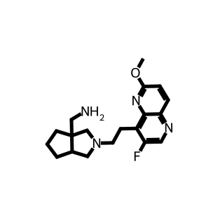 COc1ccc2ncc(F)c(CCN3CC4CCCC4(CN)C3)c2n1